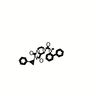 CN(C(=O)N1CCN2C(=O)N([C@@H]3C[C@H]3c3ccccc3)C(=O)C2C1)c1ccccc1-c1ccccc1